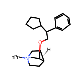 CCC[N+]12CCC(CC1)[C@H](OCC(c1ccccc1)C1CCCC1)C2